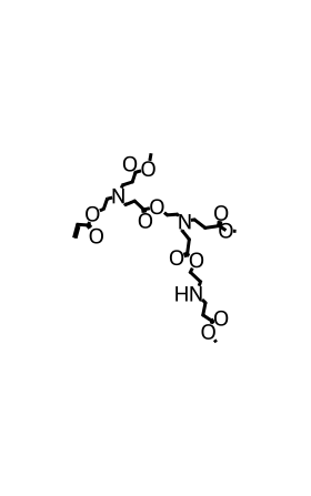 C=CC(=O)OCCN(CCC(=O)OC)CCC(=O)OCCN(CCC(=O)OC)CCC(=O)OCCNCCC(=O)OC